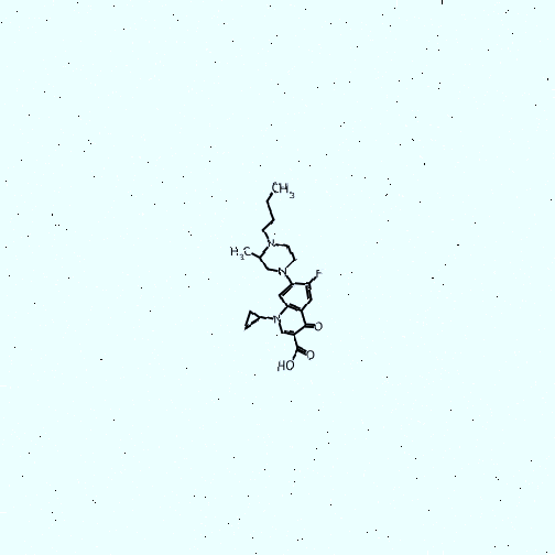 CCCCN1CCN(c2cc3c(cc2F)c(=O)c(C(=O)O)cn3C2CC2)CC1C